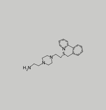 NCCN1CCN(CCSCc2ccccc2-c2ccccn2)CC1